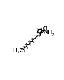 CCCCCCCCCCCC[n+]1cccc(C(N)=O)c1